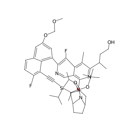 COCOc1cc(-c2ncc3c(N4CC5CCC(C4)N5C(=O)OC(C)(C)C)nc(C(C)CCO)c(C)c3c2F)c2c(C#C[Si](C(C)C)(C(C)C)C(C)C)c(F)ccc2c1